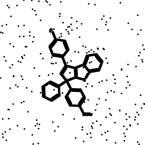 CC(=O)Nc1ccc(C2(c3ccccc3)C=C(c3ccc(Cl)cc3)c3c2sc2ccccc32)cc1